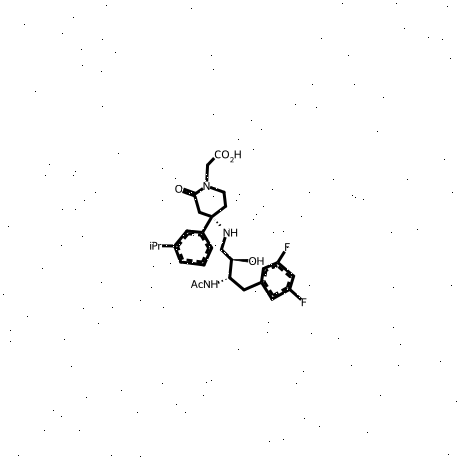 CC(=O)N[C@@H](Cc1cc(F)cc(F)c1)[C@H](O)CN[C@@]1(c2cccc(C(C)C)c2)CCN(CC(=O)O)C(=O)C1